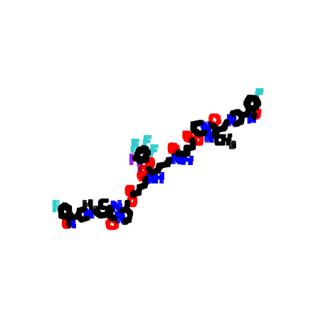 Cc1nc2n(c(=O)c1CCN1CCC(c3noc4cc(F)ccc34)CC1)CCCC2COC(=O)CCCC(=O)NC(CCCCNC(=O)CCCC(=O)OC1CCCn2c1nc(C)c(CCN1CCC(c3noc4cc(F)ccc34)CC1)c2=O)C(=O)Oc1c(F)c(F)c(F)c(I)c1I